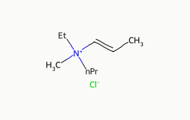 CC=C[N+](C)(CC)CCC.[Cl-]